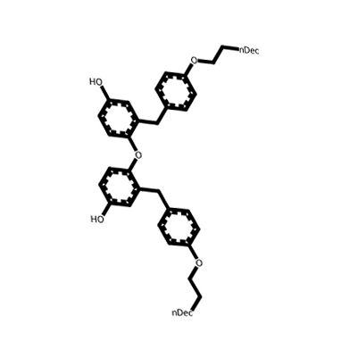 CCCCCCCCCCCCOc1ccc(Cc2cc(O)ccc2Oc2ccc(O)cc2Cc2ccc(OCCCCCCCCCCCC)cc2)cc1